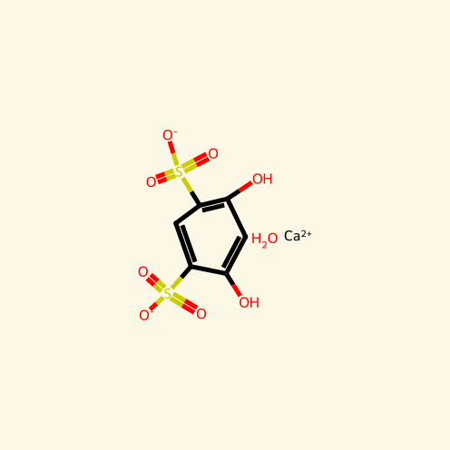 O.O=S(=O)([O-])c1cc(S(=O)(=O)[O-])c(O)cc1O.[Ca+2]